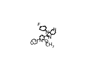 COc1nc(N2CCOCC2)ccc1-c1nc2ccncc2n1-c1ccc(F)cc1